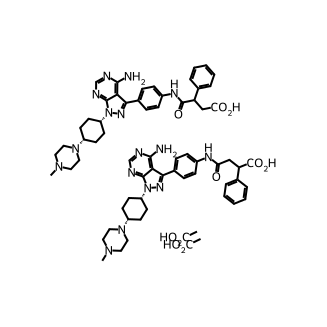 CC(=O)O.CC(=O)O.CN1CCN([C@H]2CC[C@@H](n3nc(-c4ccc(NC(=O)C(CC(=O)O)c5ccccc5)cc4)c4c(N)ncnc43)CC2)CC1.CN1CCN([C@H]2CC[C@@H](n3nc(-c4ccc(NC(=O)CC(C(=O)O)c5ccccc5)cc4)c4c(N)ncnc43)CC2)CC1